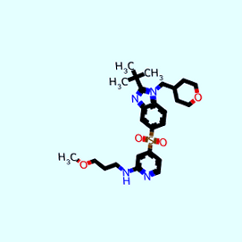 COCCCNc1cc(S(=O)(=O)c2ccc3c(c2)nc(C(C)(C)C)n3CC2CCOCC2)ccn1